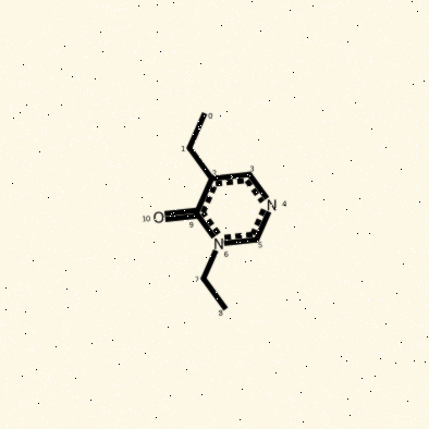 CCc1cncn(CC)c1=O